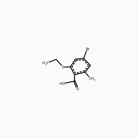 CCOc1cc(Br)cc(C)c1C(=O)O